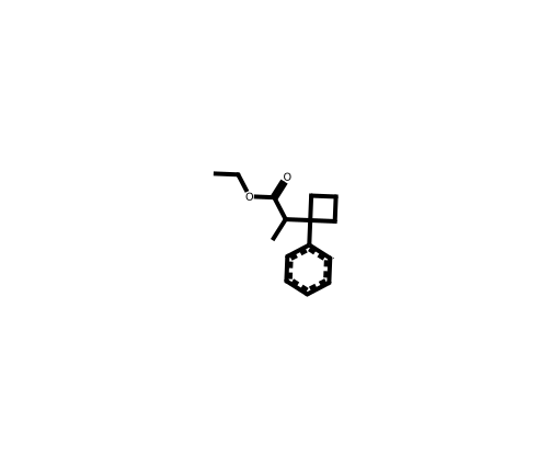 CCOC(=O)C(C)C1(c2[c]cccc2)CCC1